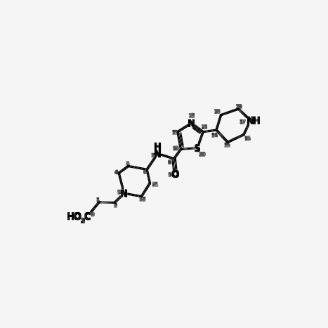 O=C(O)CCN1CCC(NC(=O)c2cnc(C3CCNCC3)s2)CC1